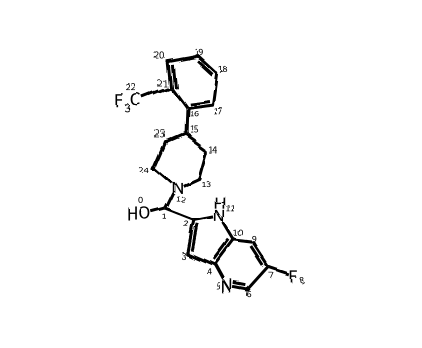 OC(c1cc2ncc(F)cc2[nH]1)N1CCC(c2ccccc2C(F)(F)F)CC1